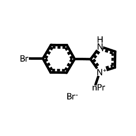 CCC[n+]1cc[nH]c1-c1ccc(Br)cc1.[Br-]